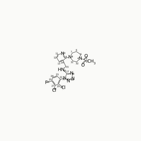 CS(=O)(=O)N1CCCN(c2ncccc2CNc2nnnn2-c2ccc(F)c(Cl)c2Cl)CC1